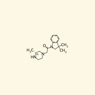 C[C@@H]1CN(CC(=O)N2CC(C)(C)c3ccccc32)CCN1